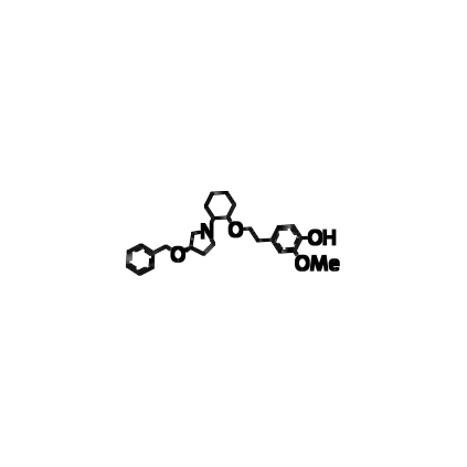 COc1cc(CCOC2CCCCC2N2CC[C@@H](OCc3ccccc3)C2)ccc1O